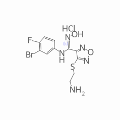 Cl.NCCSc1nonc1/C(=N\O)Nc1ccc(F)c(Br)c1